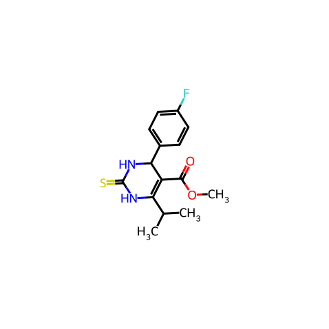 COC(=O)C1=C(C(C)C)NC(=S)NC1c1ccc(F)cc1